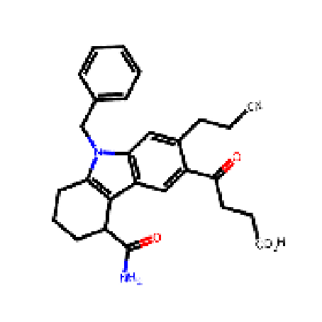 N#CCCc1cc2c(cc1C(=O)CCC(=O)O)c1c(n2Cc2ccccc2)CCCC1C(N)=O